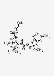 C=CCOCC(CC)(COCC)COC(=O)NC1CC(C)(C)CC(C)(CNC(=O)OCC=C)C1